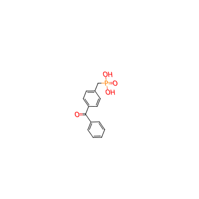 O=C(c1ccccc1)c1ccc(CP(=O)(O)O)cc1